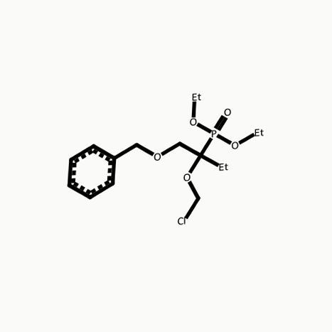 CCOP(=O)(OCC)C(CC)(COCc1ccccc1)OCCl